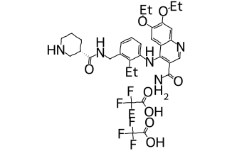 CCOc1cc2ncc(C(N)=O)c(Nc3cccc(CNC(=O)[C@H]4CCCNC4)c3CC)c2cc1OCC.O=C(O)C(F)(F)F.O=C(O)C(F)(F)F